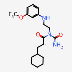 NC(=O)N(CCNc1cccc(OC(F)(F)F)c1)C(=O)[CH]CC1CCCCC1